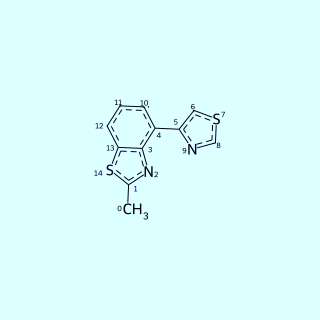 Cc1nc2c(-c3cscn3)[c]ccc2s1